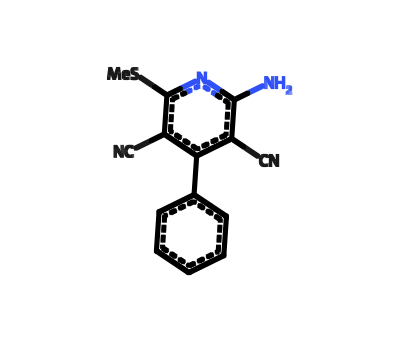 CSc1nc(N)c(C#N)c(-c2ccccc2)c1C#N